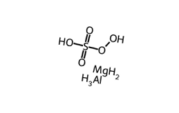 O=S(=O)(O)OO.[AlH3].[MgH2]